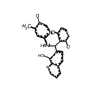 Cc1cc(NC(c2ccc3cccnc3c2O)c2c(Cl)cccc2Cl)ncc1Cl